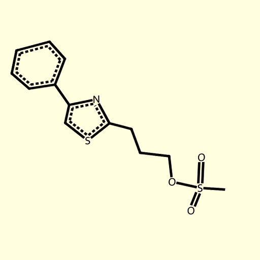 CS(=O)(=O)OCCCc1nc(-c2ccccc2)cs1